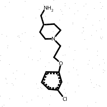 NCC1CCN(CCOc2cccc(Cl)c2)CC1